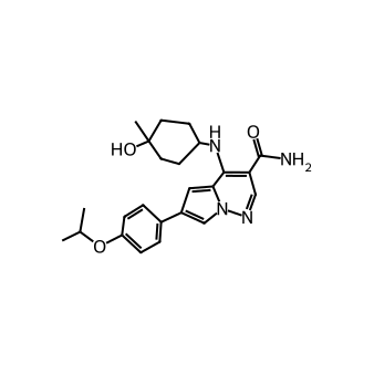 CC(C)Oc1ccc(-c2cc3c(NC4CCC(C)(O)CC4)c(C(N)=O)cnn3c2)cc1